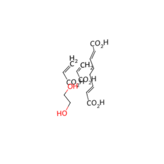 C=CC(=O)O.C=CC(=O)O.O=C(O)C=CCCC=CC(=O)O.OCCO